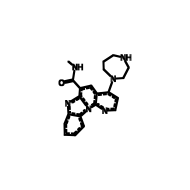 CNC(=O)c1cc2c(N3CCCNCC3)ccnc2n2c1nc1ccccc12